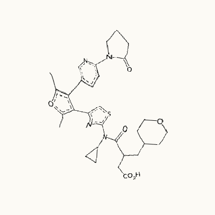 Cc1oc(C)c(-c2csc(N(C(=O)C(CC(=O)O)CC3CCOCC3)C3CC3)n2)c1-c1ccc(N2CCCC2=O)nc1